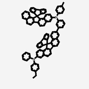 CCc1ccc(N(c2ccccc2)c2ccc3c4c(ccc3c2)-c2ccc3cc(-c5cccc(N(c6ccc(C)cc6)c6ccc7c8c(ccc7c6)-c6ccc7ccccc7c6C86c7ccccc7-c7ccccc76)c5)ccc3c2C42c3ccccc3-c3ccccc32)cc1